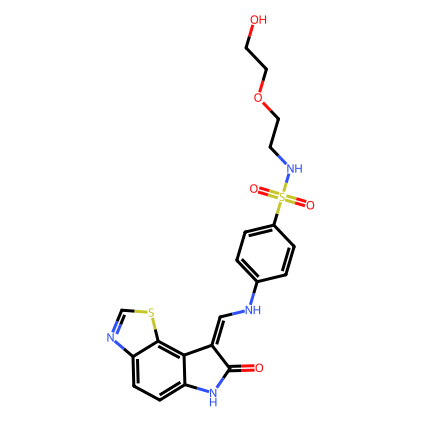 O=C1Nc2ccc3ncsc3c2/C1=C/Nc1ccc(S(=O)(=O)NCCOCCO)cc1